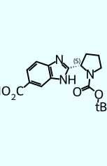 CC(C)(C)OC(=O)N1CCC[C@H]1c1nc2ccc(C(=O)O)cc2[nH]1